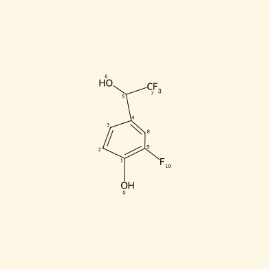 Oc1ccc(C(O)C(F)(F)F)cc1F